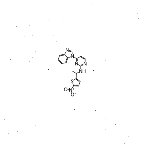 CC(Nc1nccc(-n2cnc3ccccc32)n1)c1ccc([N+](=O)[O-])s1